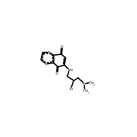 CCC(CNC1=CC(=O)c2nccnc2C1=O)CN(C)C